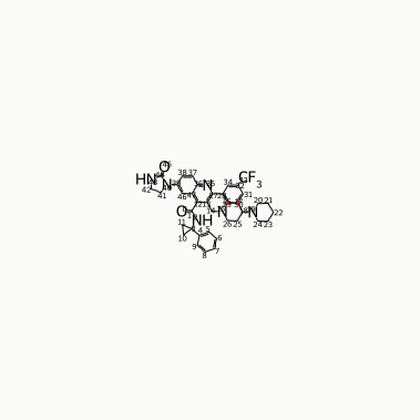 O=C(NC1(c2ccccc2)CC1)c1c(CN2CCC(N3CCCCC3)CC2)c(-c2cccc(C(F)(F)F)c2)nc2ccc(N3CCNC3=O)cc12